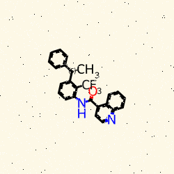 C[C@@H](c1ccccc1)c1cccc(NC(=O)c2ccnc3ccccc23)c1C(F)(F)F